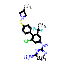 C/N=C(\N=C(/C)N)Nc1cc(Cl)c(-c2ccc(SN3CC(C)C3)cc2)c(C(C)(F)F)c1